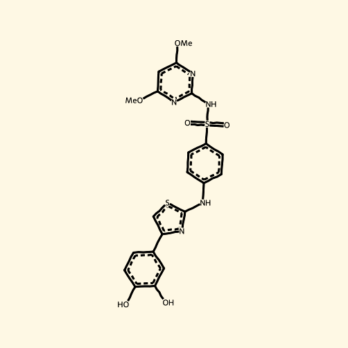 COc1cc(OC)nc(NS(=O)(=O)c2ccc(Nc3nc(-c4ccc(O)c(O)c4)cs3)cc2)n1